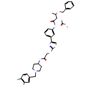 CC(OCc1ccccc1)[C@H](NC(=O)OC(C)(C)C)C(=O)Nc1cccc(-c2csc(SCC(=O)NC3CCN(Cc4ccc(Cl)c(Cl)c4)CC3)n2)c1